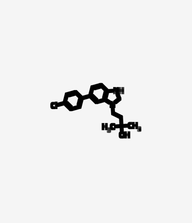 CC(C)(O)CCN1CNc2ccc(-c3ccc(Cl)cc3)cc21